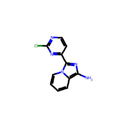 Nc1nc(-c2ccnc(Cl)n2)n2ccccc12